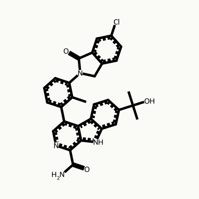 Cc1c(-c2cnc(C(N)=O)c3[nH]c4cc(C(C)(C)O)ccc4c23)cccc1N1Cc2ccc(Cl)cc2C1=O